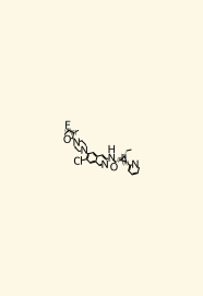 CC[C@H]1[C@@H](C(=O)Nc2cc3cc(N4CCN(C5OC[C@@H](F)[C@H]5C)CC4)c(Cl)cc3cn2)[C@@H]1c1ccccn1